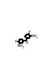 Nc1cc(C(=O)c2ccc(F)c(N)c2)ccc1F